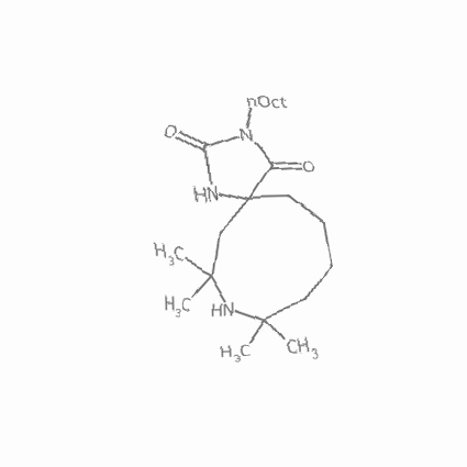 CCCCCCCCN1C(=O)NC2(CCCCC(C)(C)NC(C)(C)C2)C1=O